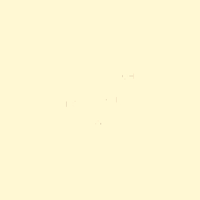 C1CO1.CCO.Cl